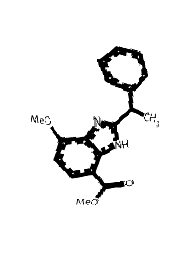 COC(=O)c1ccc(OC)c2nc(C(C)c3ccccc3)[nH]c12